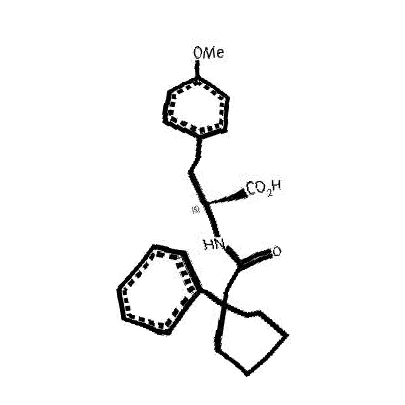 COc1ccc(C[C@H](NC(=O)C2(c3ccccc3)CCCC2)C(=O)O)cc1